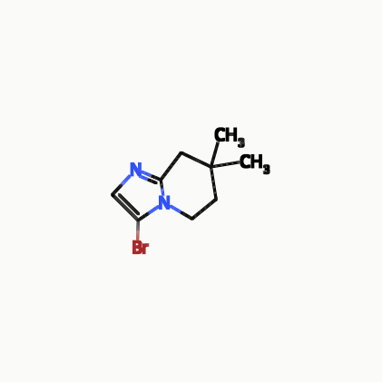 CC1(C)CCn2c(Br)cnc2C1